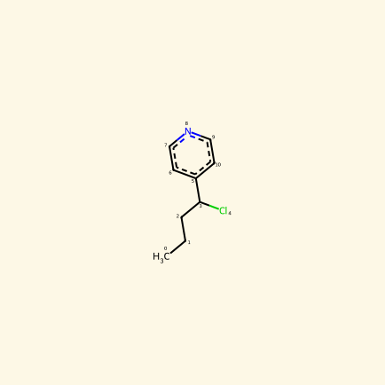 CCCC(Cl)c1ccncc1